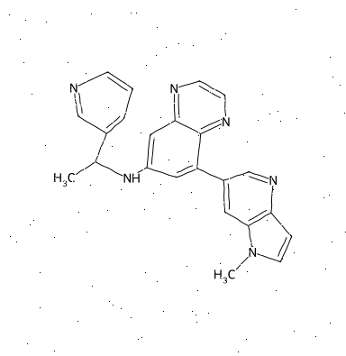 CC(Nc1cc(-c2cnc3ccn(C)c3c2)c2nccnc2c1)c1cccnc1